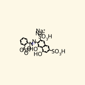 O=S(=O)(O)c1cc(O)c2c(O)c(/N=N/c3ccccc3[As](=O)([O-])[O-])c(S(=O)(=O)O)cc2c1.[Na+].[Na+]